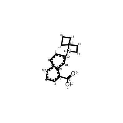 O=C(O)c1ccnc2ccc(N3CCC34CCC4)cc12